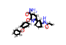 C=CC(=O)Nc1cccc(-c2ccc(C(N)=O)c(Oc3ccc(Oc4ccccc4)cc3)n2)c1